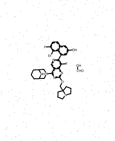 CCc1c(F)ccc2cc(O)cc(-c3ncc4c(N5CC6CCCC(C5)N6)nc(OCC56CCCN5CCC6)nc4c3F)c12.O=CO